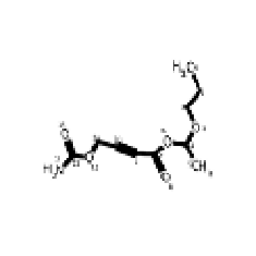 CCCOC(C)OC(=O)C#CCOC(N)=O